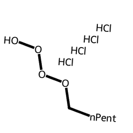 CCCCCCOOOO.Cl.Cl.Cl.Cl